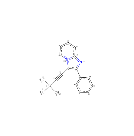 C[Si](C)(C)C#Cc1c(-c2ccccc2)nc2ccccn12